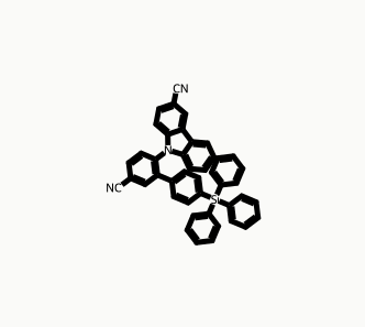 N#Cc1ccc(-n2c3ccccc3c3cc(C#N)ccc32)c(-c2ccc([Si](c3ccccc3)(c3ccccc3)c3ccccc3)cc2)c1